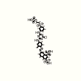 Cc1cc(Nc2nc(Cl)nc(Nc3cccc(S(=O)(=O)CCOS(=O)(=O)O)c3)n2)ccc1N=Nc1ccc2cc(S(=O)(=O)O)cc(S(=O)(=O)O)c2c1